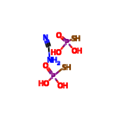 N#CN.O=P(O)(O)S.O=P(O)(O)S